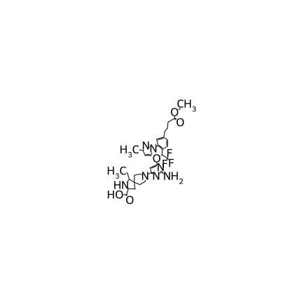 CCOC(=O)CCCc1ccc([C@@H](Oc2cc(N3CCC4(CC3)CC(C(=O)O)NC4CC)nc(N)n2)C(F)(F)F)c(-n2ccc(C)n2)c1